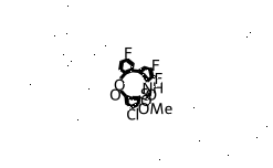 COc1c(Cl)cc2cc1S(=O)(=O)Nc1cc(cc(F)c1F)-c1cc(F)ccc1COC2=O